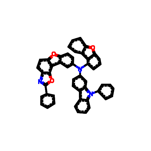 c1ccc(-c2nc3ccc4oc5ccc(N(c6ccc7c8ccccc8n(-c8ccccc8)c7c6)c6cccc7oc8ccccc8c67)cc5c4c3o2)cc1